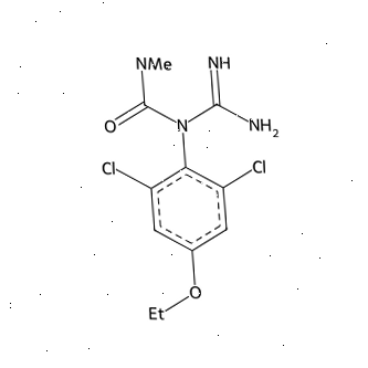 CCOc1cc(Cl)c(N(C(=N)N)C(=O)NC)c(Cl)c1